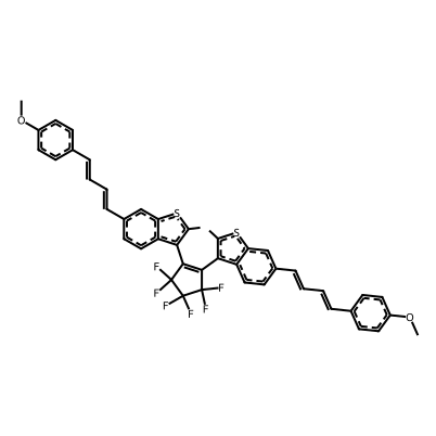 COc1ccc(C=CC=Cc2ccc3c(C4=C(c5c(C)sc6cc(C=CC=Cc7ccc(OC)cc7)ccc56)C(F)(F)C(F)(F)C4(F)F)c(C)sc3c2)cc1